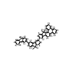 CC1(C)c2ccc(-c3ccc4c(c3)-c3ccc5c6ccccc6c6ccccc6c5c3C4(C)C)cc2-c2cc(-c3ccc4sc5ccccc5c4c3)ccc21